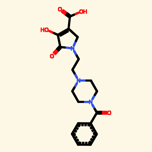 O=C(O)C1=C(O)C(=O)N(CCN2CCN(C(=O)c3ccccc3)CC2)C1